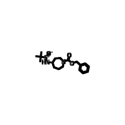 CC(C)(C)[S+]([O-])N[C@@H]1CCCN(C(=O)OCc2ccccc2)CC1